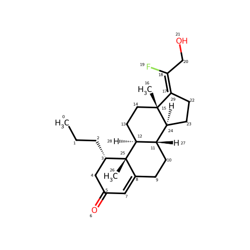 CCC[C@H]1CC(=O)C=C2CC[C@@H]3[C@H](CC[C@]4(C)C(=C(F)CO)CC[C@@H]34)[C@]21C